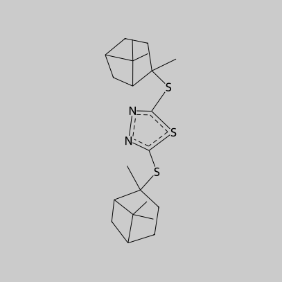 CC1(Sc2nnc(SC3(C)CCC4CC3C4(C)C)s2)CCC2CC1C2(C)C